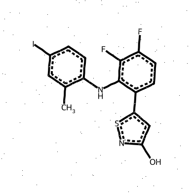 Cc1cc(I)ccc1Nc1c(-c2cc(O)ns2)ccc(F)c1F